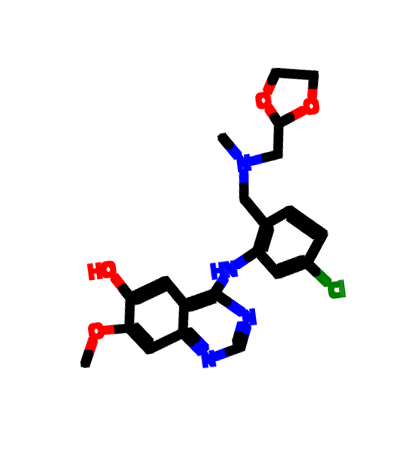 COc1cc2ncnc(Nc3cc(Cl)ccc3CN(C)CC3OCCO3)c2cc1O